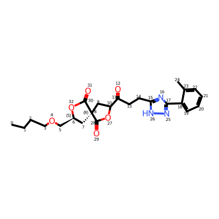 CCCCOC[C@@H]1C[C@@]2(CC(C(=O)CCc3nc(-c4ccccc4C)n[nH]3)OC2=O)C(=O)O1